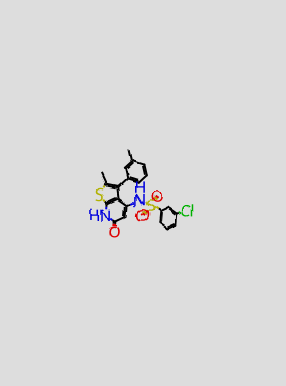 Cc1cccc(-c2c(C)sc3[nH]c(=O)cc(NS(=O)(=O)c4cccc(Cl)c4)c23)c1